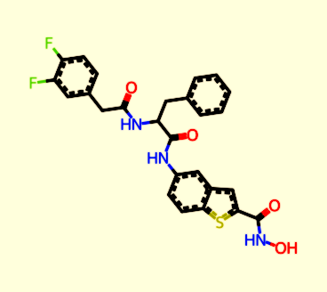 O=C(Cc1ccc(F)c(F)c1)NC(Cc1ccccc1)C(=O)Nc1ccc2sc(C(=O)NO)cc2c1